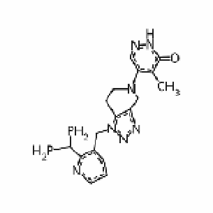 Cc1c(N2CCc3c(nnn3Cc3cccnc3C(P)P)C2)cn[nH]c1=O